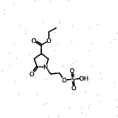 CCOC(=O)C1CC(=O)N(CCOS(=O)(=O)O)C1